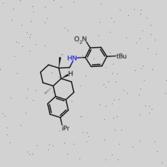 CC(C)c1ccc2c(c1)CC[C@H]1[C@@](C)(CNc3ccc(C(C)(C)C)cc3[N+](=O)[O-])CCC[C@]21C